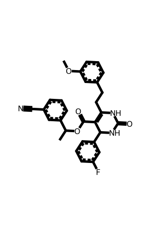 COc1cccc(CCC2=C(C(=O)OC(C)c3cccc(C#N)c3)C(c3cccc(F)c3)NC(=O)N2)c1